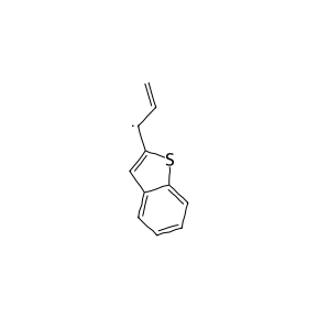 C=C[CH]c1cc2ccccc2s1